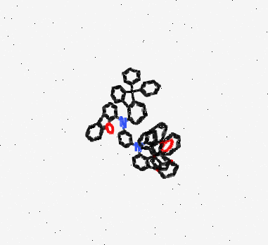 c1ccc(C2(c3ccccc3)c3ccccc3-c3c(N(c4cccc(N(c5cccc6c5C(c5ccccc5)(c5ccccc5)c5ccccc5-6)c5cccc6oc7ccccc7c56)c4)c4cccc5c4oc4ccccc45)cccc32)cc1